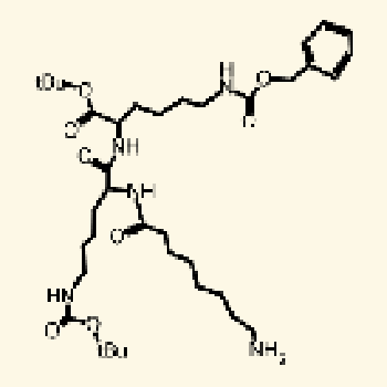 CC(C)(C)OC(=O)NCCCCC(NC(=O)CCCCCCCN)C(=O)NC(CCCCNC(=O)OCc1ccccc1)C(=O)OC(C)(C)C